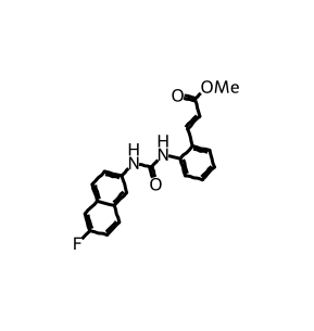 COC(=O)C=Cc1ccccc1NC(=O)Nc1ccc2cc(F)ccc2c1